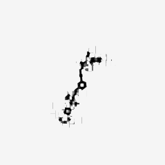 CSCC[C@H](NC(=O)OC(C)(C)C)C(=O)NCC#Cc1cccc(CNc2ncnc3c2ncn3[C@@H]2O[C@H](C(O)N(C)C=O)[C@@H](O)[C@H]2O)c1